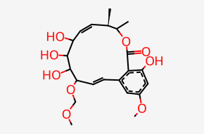 COCOC1/C=C/c2cc(OC)cc(O)c2C(=O)OC(C)[C@H](C)/C=C\C(O)C(O)C1O